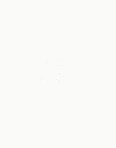 CC1=C(C)[C]([Ti+3])([Si](c2ccccc2)(c2cc(C)cc(C)c2)c2cc(C)cc(C)c2)C(C)=C1C.[Cl-].[Cl-].[Cl-]